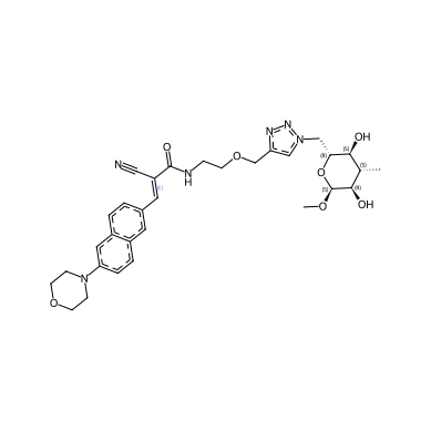 CO[C@H]1O[C@H](Cn2cc(COCCNC(=O)/C(C#N)=C/c3ccc4cc(N5CCOCC5)ccc4c3)nn2)[C@@H](O)[C@H](C)[C@H]1O